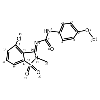 CCOc1ccc(NC(=O)N=C2c3c(Cl)cccc3S(=O)(=O)N2C)cc1